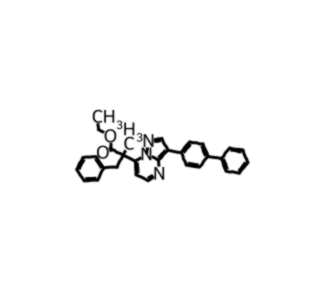 CCOC(=O)C(C)(Cc1ccccc1)c1ccnc2c(-c3ccc(-c4ccccc4)cc3)cnn12